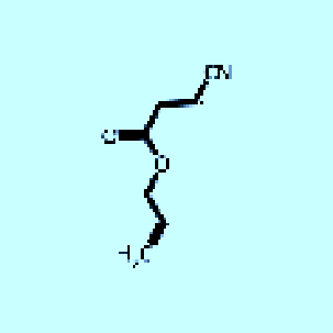 C=CCOC(=O)C[CH]C#N